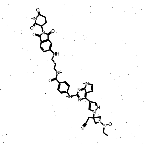 CC[S+]([O-])N1CC(CC#N)(n2cc(-c3nc(Nc4ccc(C(=O)NCCCNc5ccc6c(c5)C(=O)N(C5CCC(=O)NC5=O)C6=O)cc4)nc4[nH]ccc34)cn2)C1